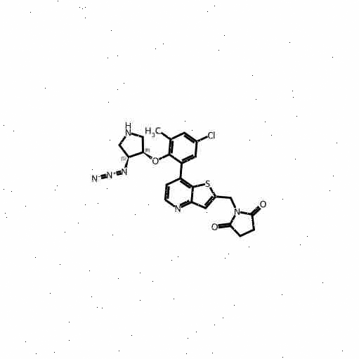 Cc1cc(Cl)cc(-c2ccnc3cc(CN4C(=O)CCC4=O)sc23)c1O[C@@H]1CNC[C@@H]1N=[N+]=[N-]